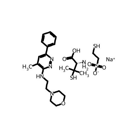 CC(C)(S)[C@@H](N)C(=O)O.Cc1cc(-c2ccccc2)nnc1NCCN1CCOCC1.O=S(=O)([O-])CCS.[Na+]